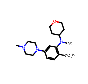 CC(=O)N(c1cc(N2CCN(C)CC2)ccc1C(=O)O)C1CCOCC1